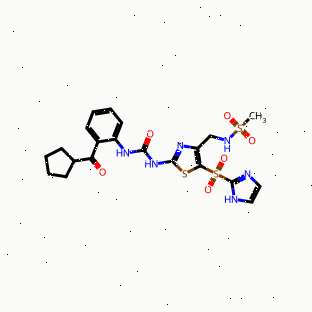 CS(=O)(=O)NCc1nc(NC(=O)Nc2ccccc2C(=O)C2CCCC2)sc1S(=O)(=O)c1ncc[nH]1